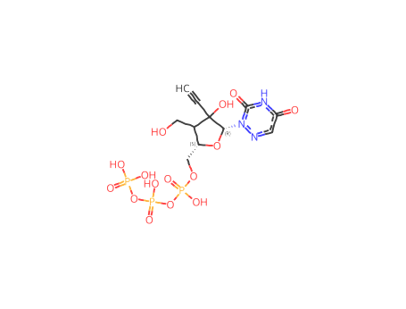 C#CC1(O)C(CO)[C@@H](COP(=O)(O)OP(=O)(O)OP(=O)(O)O)O[C@H]1n1ncc(=O)[nH]c1=O